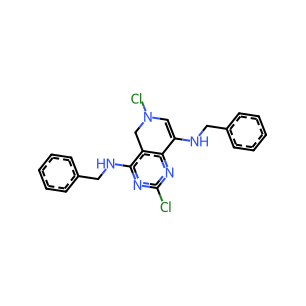 Clc1nc(NCc2ccccc2)c2c(n1)C(NCc1ccccc1)=CN(Cl)C2